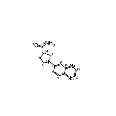 NC(=O)[C@H]1CCN(c2ccc3nccnc3c2)C1